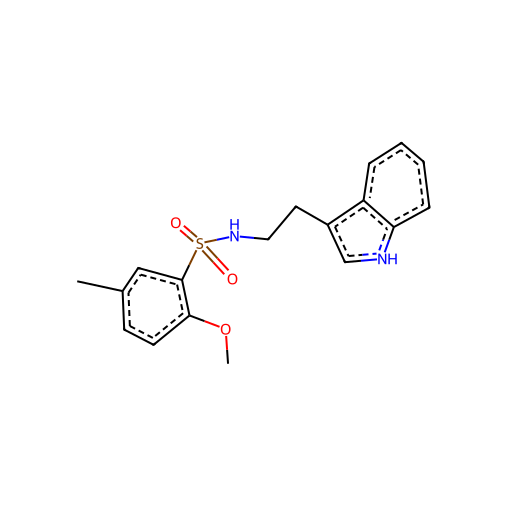 COc1ccc(C)cc1S(=O)(=O)NCCc1c[nH]c2ccccc12